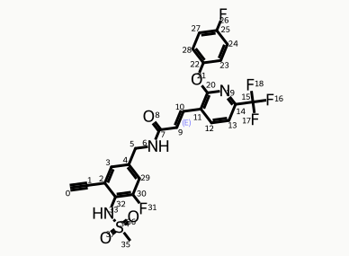 C#Cc1cc(CNC(=O)/C=C/c2ccc(C(F)(F)F)nc2Oc2ccc(F)cc2)cc(F)c1NS(C)(=O)=O